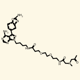 CC(=O)CN(C)CC(=O)NCCOCCOCCC(=O)NCCCCn1nc(-c2ccc3oc(N)nc3c2)c2c(N)ncnc21